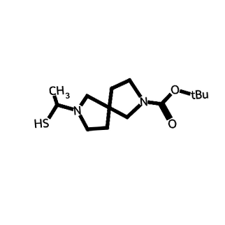 CC(S)N1CCC2(CCN(C(=O)OC(C)(C)C)C2)C1